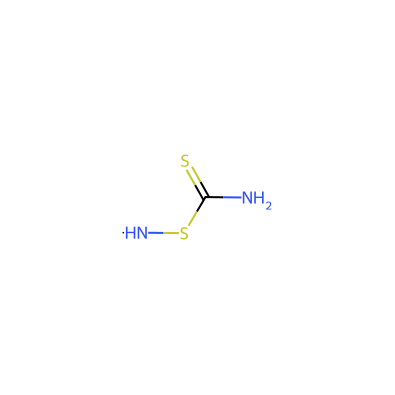 [NH]SC(N)=S